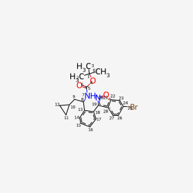 CC(C)(C)OC(=O)NC(CC1CC1)c1ccccc1-c1noc2cc(Br)ccc12